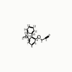 C#CCOc1cccc2c1c1ccccc1n2C